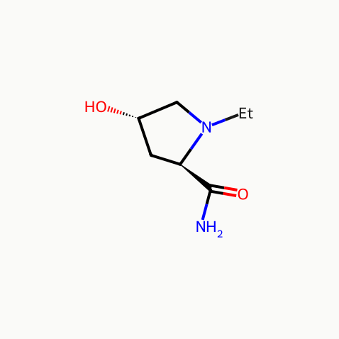 CCN1C[C@@H](O)C[C@@H]1C(N)=O